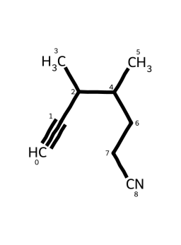 C#CC(C)C(C)CCC#N